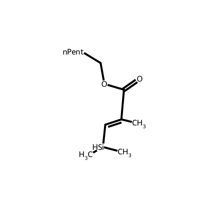 CCCCCCOC(=O)C(C)=C[SiH](C)C